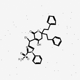 CCC(C1=C(O)CC(CCc2ccccc2)(CCc2ccccc2)OC1=O)c1cn(-c2ccccc2)c(S(N)(=O)=O)n1